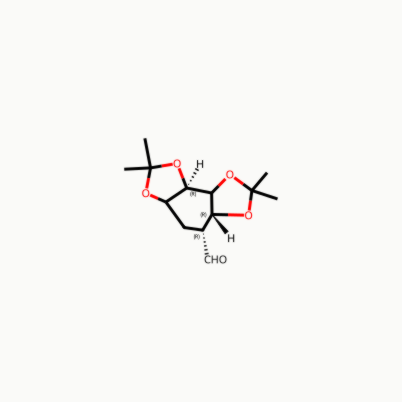 CC1(C)OC2C[C@@H](C=O)[C@H]3OC(C)(C)OC3[C@@H]2O1